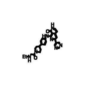 CCNCC(=O)N1CCC(c2ccc(Nc3nc(-c4cncnc4)cc4cc[nH]c(=O)c34)cc2)CC1